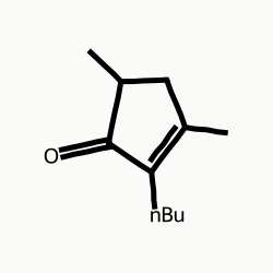 CCCCC1=C(C)CC(C)C1=O